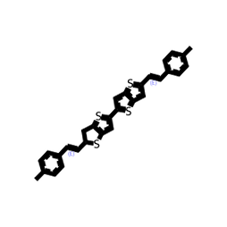 Cc1ccc(/C=C/c2cc3sc(-c4cc5c(s4)CC(/C=C/c4ccc(C)cc4)S5)cc3s2)cc1